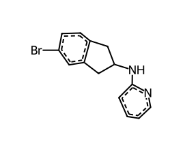 Brc1ccc2c(c1)CC(Nc1ccccn1)C2